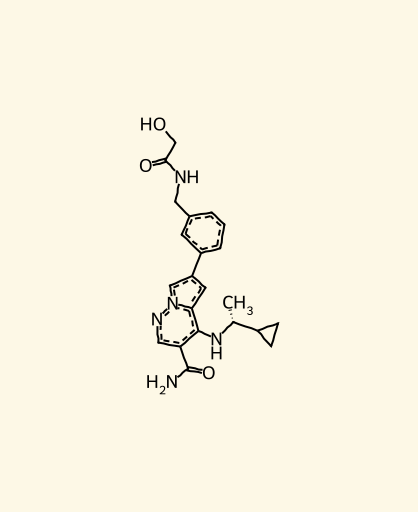 C[C@@H](Nc1c(C(N)=O)cnn2cc(-c3cccc(CNC(=O)CO)c3)cc12)C1CC1